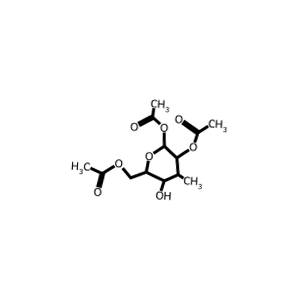 CC(=O)OCC1OC(OC(C)=O)C(OC(C)=O)C(C)C1O